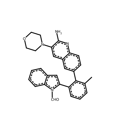 Cc1cccc(-c2cc3ccccc3n2C=O)c1-c1ccc2nc(N)c(N3CCOCC3)cc2c1